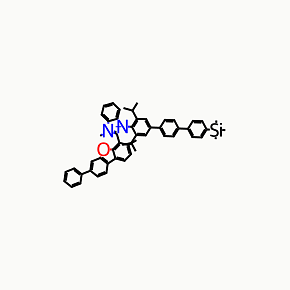 Cc1ccc2c(oc3cc(-c4ccccc4)ccc32)c1-c1n(-c2c(C(C)C)cc(-c3ccc(-c4ccc([Si](C)(C)C)cc4)cc3)cc2C(C)C)c2ccccc2[n+]1C